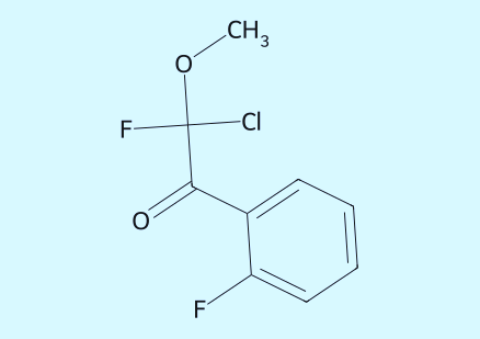 COC(F)(Cl)C(=O)c1ccccc1F